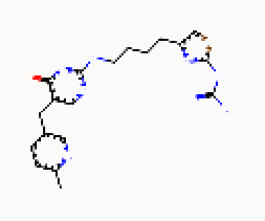 Cc1ccc(Cc2cnc(NCCCCc3csc(NC(=N)N)n3)[nH]c2=O)cn1